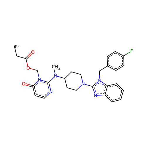 CC(C)CC(=O)OCn1c(N(C)C2CCN(c3nc4ccccc4n3Cc3ccc(F)cc3)CC2)nccc1=O